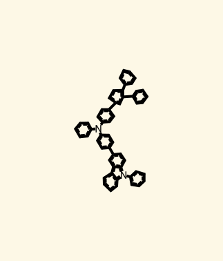 c1ccc(-c2ccc(-c3ccc(N(c4ccccc4)c4ccc(-c5ccc6c(c5)c5ccccc5n6-c5ccccc5)cc4)cc3)cc2-c2ccccc2)cc1